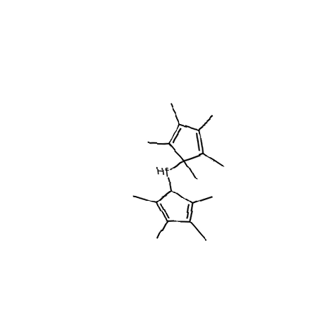 CC1=C(C)[CH]([Hf][C]2(C)C(C)=C(C)C(C)=C2C)C(C)=C1C